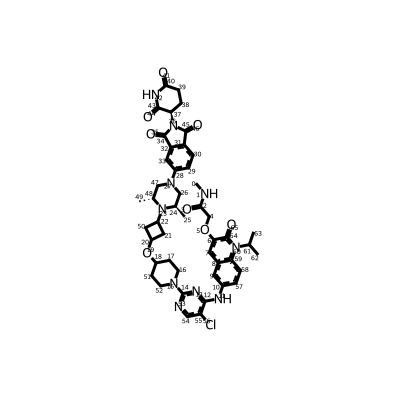 CNC(=O)COc1cc2cc(Nc3nc(N4CCC(OC5CC(N6[C@H](C)CN(c7ccc8c(c7)C(=O)N([C@@H]7CCC(=O)NC7=O)C8=O)C[C@H]6C)C5)CC4)ncc3Cl)ccc2n(C(C)C)c1=O